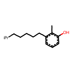 Cc1c(O)cccc1CCCCCC(C)C